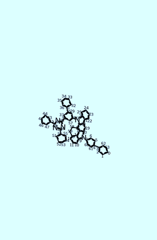 c1ccc(-c2ccc(-n3c4cccc5c4c4c(c6c(cc43)c3ccccc3n6-c3cc(-c4ccccc4)cc(-c4nc(-c6ccccc6)nc(-c6ccccc6)n4)c3)CC5)cc2)cc1